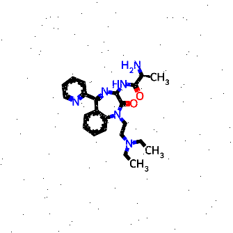 CCN(CC)CCN1C(=O)C(NC(=O)[C@H](C)N)N=C(c2ccccn2)c2ccccc21